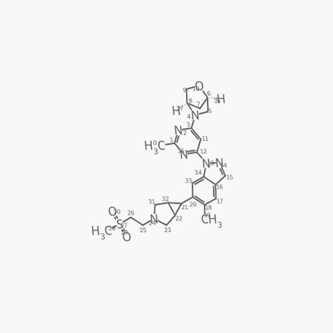 Cc1nc(N2C[C@H]3C[C@@H]2CO3)cc(-n2ncc3cc(C)c(C4C5CN(CCS(C)(=O)=O)CC54)cc32)n1